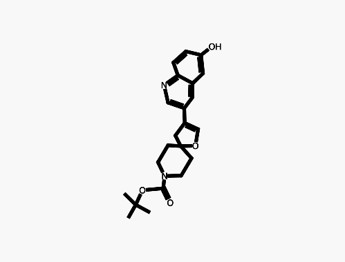 CC(C)(C)OC(=O)N1CCC2(CC1)CC(c1cnc3ccc(O)cc3c1)=CO2